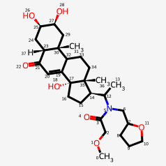 COCC(=O)N(CC1CCCO1)C(C)[C@H]1CC[C@@]2(O)C3=CC(=O)[C@@H]4C[C@@H](O)[C@@H](O)C[C@]4(C)C3CC[C@]12C